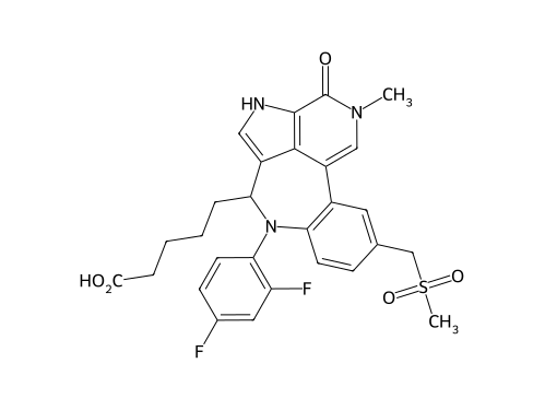 Cn1cc2c3c(c[nH]c3c1=O)C(CCCCC(=O)O)N(c1ccc(F)cc1F)c1ccc(CS(C)(=O)=O)cc1-2